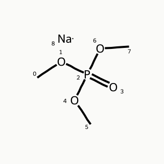 COP(=O)(OC)OC.[Na]